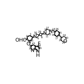 O=Cc1ccc(N2CC3(CC(N4CCN(Cc5ccc(C6CCOCC6)cc5)CC4)C3)C2)cc1Oc1cnc2[nH]cc(F)c2c1